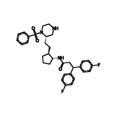 O=C(CC(c1ccc(F)cc1)c1ccc(F)cc1)N[C@@H]1CCC[C@H]1CC[C@H]1CNCCN1S(=O)(=O)c1ccccc1